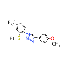 CCSc1cc(C(F)(F)F)ccc1-n1cc(-c2ccc(OC(F)(F)F)cc2)nn1